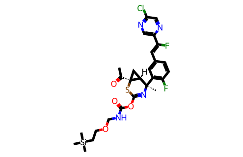 CC(=O)[C@]12C[C@H]1[C@@](C)(c1cc(/C=C(\F)c3cnc(Cl)cn3)ccc1F)N=C(OC(=O)NCOCC[Si](C)(C)C)S2